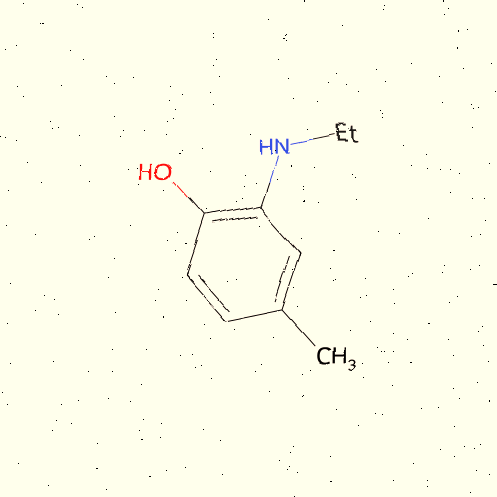 CCNc1cc(C)ccc1O